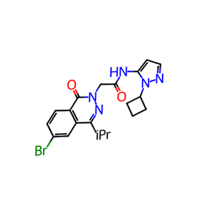 CC(C)c1nn(CC(=O)Nc2ccnn2C2CCC2)c(=O)c2ccc(Br)cc12